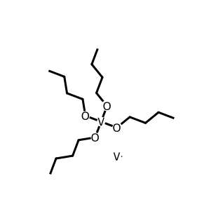 CCCC[O][V]([O]CCCC)([O]CCCC)[O]CCCC.[V]